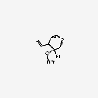 C=CC1C=CC=CC1(CC)OCCC